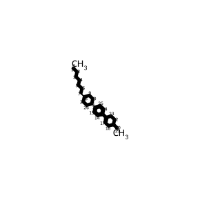 CCCCCCCC[C@H]1CC[C@H](c2ccc(C3=CCC(CC)CC3)cc2)CC1